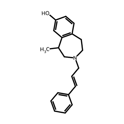 CC1CN(CC=Cc2ccccc2)CCc2ccc(O)cc21